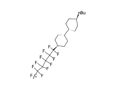 CCCC[C@H]1CC[C@H]([C@H]2CC[C@H](C(F)(F)C(F)(F)C(F)(F)C(F)(F)C(F)(F)C(F)(F)F)CC2)CC1